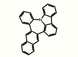 c1ccc2c(c1)-c1cc3ccccc3cc1-c1cccc3c4ccccc4n-2c13